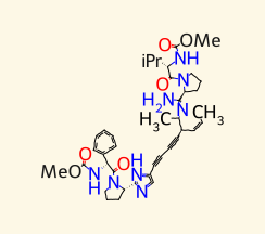 C/C=C\[C@@H](C#CC#Cc1cnc([C@@H]2CCCN2C(=O)[C@H](NC(=O)OC)c2ccccc2)[nH]1)C(C)/N=C(\N)[C@@H]1CCCN1C(=O)[C@@H](NC(=O)OC)C(C)C